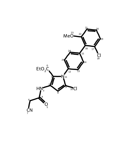 CCOC(=O)c1c(NC(=O)CC#N)cc(Cl)n1-c1ccc(-c2c(Cl)cccc2OC)cc1